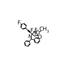 CCOC(=O)CC(C#Cc1ccc(F)cc1)(N=C(c1ccccc1)c1ccccc1)C(F)(F)F